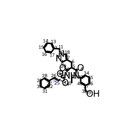 CCN(C(=O)C(Cc1cnn(Cc2ccccc2)c1)C(=O)NS(=O)(=O)/C=C/c1ccccc1)c1cccc(CO)c1